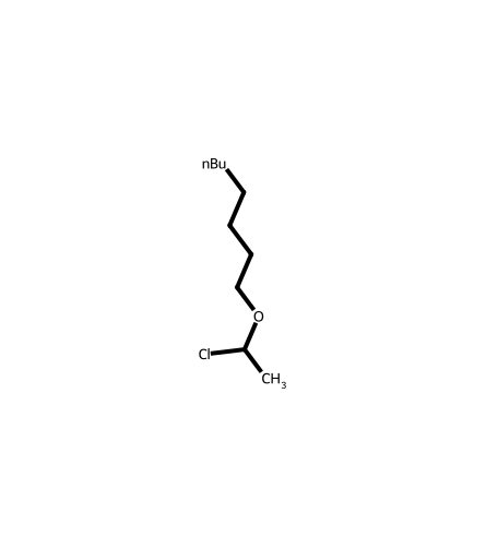 CCCCCCCCOC(C)Cl